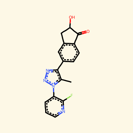 Cc1c(-c2ccc3c(c2)CC(O)C3=O)nnn1-c1cccnc1F